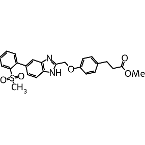 COC(=O)CCc1ccc(OCc2nc3cc(-c4ccccc4S(C)(=O)=O)ccc3[nH]2)cc1